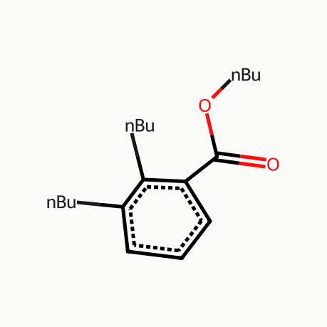 CCCCOC(=O)c1cccc(CCCC)c1CCCC